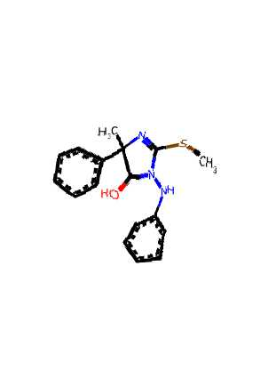 CSC1=NC(C)(c2ccccc2)C(O)N1Nc1ccccc1